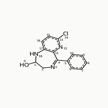 OC1CN=C(c2ccccc2)c2nc(Cl)ccc2N1